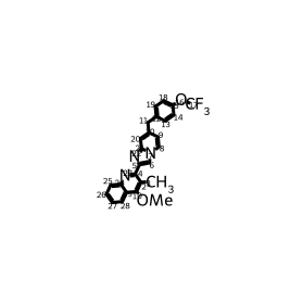 COc1c(C)c(-c2cn3ccc(Cc4ccc(OC(F)(F)F)cc4)cc3n2)nc2ccccc12